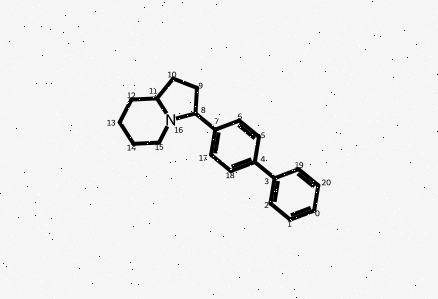 c1ccc(-c2ccc(C3CCC4CCCCN43)cc2)cc1